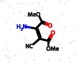 COC(=O)C(N)=C(C#N)C(=O)OC